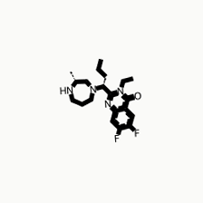 CCC[C@H](c1nc2cc(F)c(F)cc2c(=O)n1CC)N1CCCN[C@H](C)C1